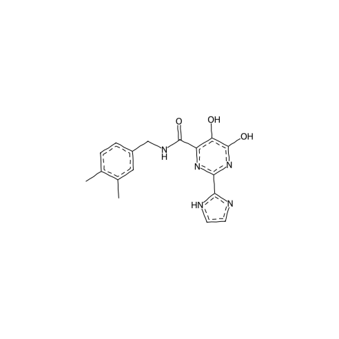 Cc1ccc(CNC(=O)c2nc(-c3ncc[nH]3)nc(O)c2O)cc1C